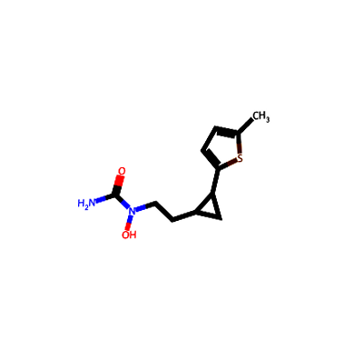 Cc1ccc(C2CC2CCN(O)C(N)=O)s1